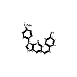 COc1ccc(-n2cnc3cc(/C=C\c4ccc(C(C)C)cc4)cnc32)cc1